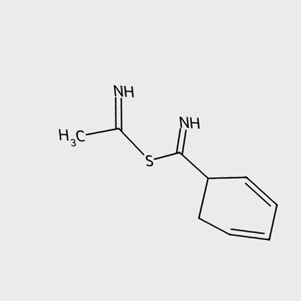 CC(=N)SC(=N)C1C=CC=CC1